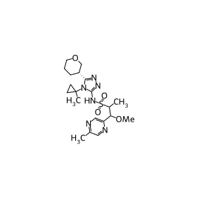 COC(c1cnc(C)cn1)C(C)S(=O)(=O)Nc1nnc([C@@H]2CCCOC2)n1C1(C)CC1